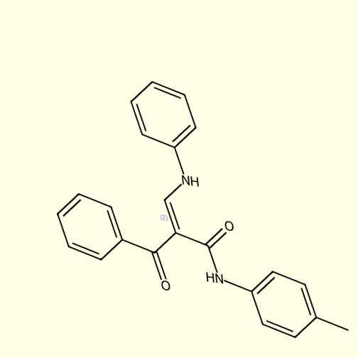 Cc1ccc(NC(=O)/C(=C\Nc2ccccc2)C(=O)c2ccccc2)cc1